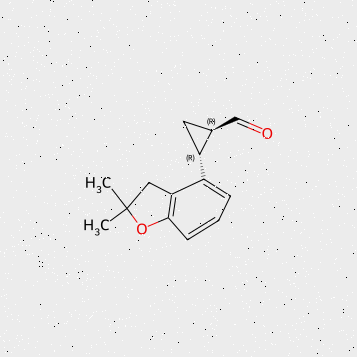 CC1(C)Cc2c(cccc2[C@@H]2C[C@H]2C=O)O1